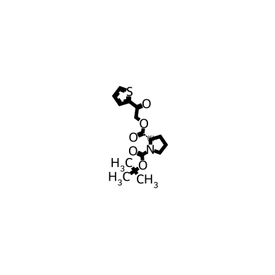 CC(C)(C)OC(=O)N1CCC[C@H]1C(=O)OCC(=O)c1cccs1